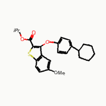 COc1ccc2sc(C(=O)OC(C)C)c(Oc3ccc(C4CCCCC4)cc3)c2c1